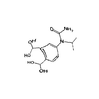 CC(C)N(C(N)=O)c1ccc(C(O)O)c(C(O)O)c1